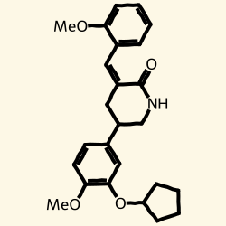 COc1ccccc1C=C1CC(c2ccc(OC)c(OC3CCCC3)c2)CNC1=O